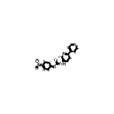 O=C(Nc1ccc(-c2ccncc2)nc1)Oc1ccc([N+](=O)[O-])cc1